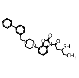 CCC(S)CC(=O)n1c(=O)oc2c(N3CCN(Cc4cccc(-c5ccccc5)c4)CC3)cccc21